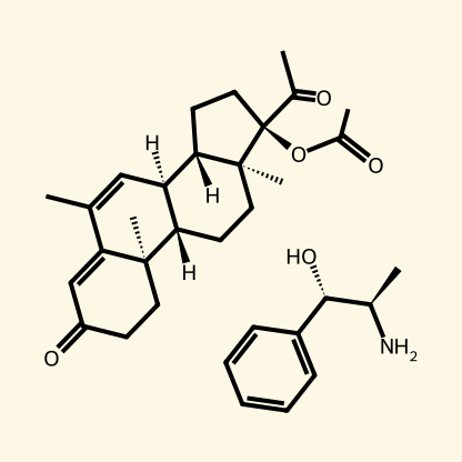 CC(=O)O[C@]1(C(C)=O)CC[C@H]2[C@@H]3C=C(C)C4=CC(=O)CC[C@]4(C)[C@H]3CC[C@@]21C.C[C@@H](N)[C@@H](O)c1ccccc1